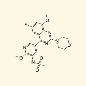 COc1ncc(-c2nc(N3CCOCC3)nc3c(OC)cc(F)cc23)cc1NS(C)(=O)=O